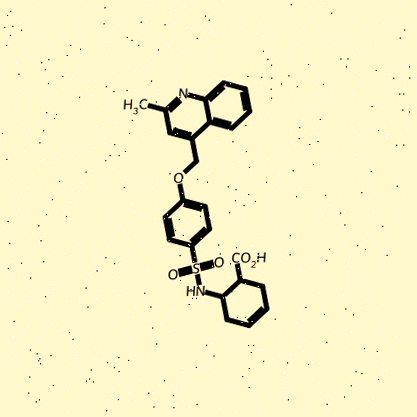 Cc1cc(COc2ccc(S(=O)(=O)NC3CC=CCC3C(=O)O)cc2)c2ccccc2n1